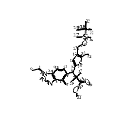 CCn1nnc2c(C)c(C(c3cc(CO[Si](C)(C)C(C)(C)C)c(C)s3)C(C)(C)C(=O)OC)ccc21